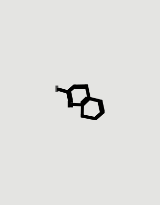 Ic1ccc2c(n1)CCC=C2